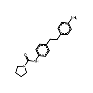 Nc1ccc(CCc2ccc(NC(=O)N3CCCC3)cc2)cc1